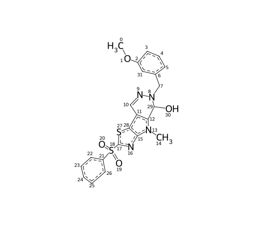 COc1cccc(CN2N=Cc3c(n(C)c4nc(S(=O)(=O)c5ccccc5)sc34)C2O)c1